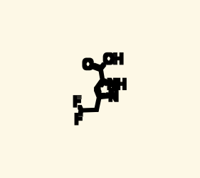 O=C(O)c1cc(CC(F)F)n[nH]1